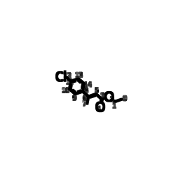 CCOC(=O)C=C(C)c1ccc(Cl)cc1